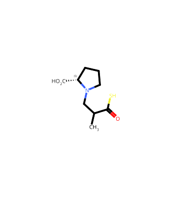 CC(CN1CCC[C@H]1C(=O)O)C(=O)S